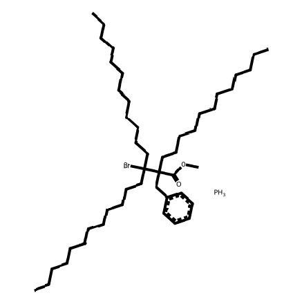 CCCCCCCCCCCCC(Br)(CCCCCCCCCCCC)C(CCCCCCCCCCCC)(Cc1ccccc1)C(=O)OC.P